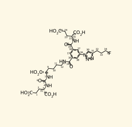 O=C(O)CC[C@H](NC(=O)N[C@@H](CCCCNC(=O)c1cc(C(=O)N[C@@H](CCC(=O)O)C(=O)O)cc(-n2cc(CCCF)nn2)c1)C(=O)O)C(=O)O